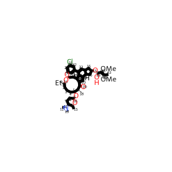 CC[C@H]1CCC[C@H](O[C@H]2CC[C@H](N(C)C)C(C)O2)[C@@H](C)C(=O)C2=C[C@@H]3C(C(c4cccc(Cl)c4)=CC4C[C@@H](O[C@H](O)/C(OC)=C(/C)OC)C[C@H]43)[C@@H]2CC(=O)O1